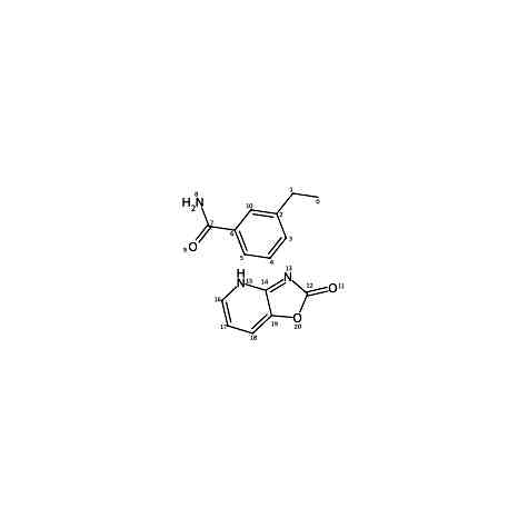 CCc1cccc(C(N)=O)c1.O=c1nc2[nH]cccc-2o1